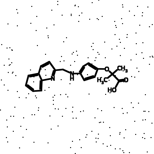 CC(C)(Oc1ccc(NCc2ccc3ccccc3n2)cc1)C(=O)O